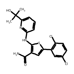 CC(C)(O)c1cccc(Nc2sc(-c3cc(Cl)ccc3Cl)cc2C(N)=O)n1